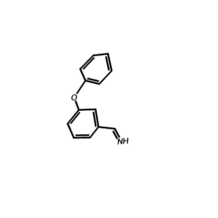 N=Cc1cccc(Oc2ccccc2)c1